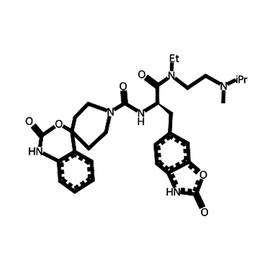 CCN(CCN(C)C(C)C)C(=O)[C@@H](Cc1ccc2[nH]c(=O)oc2c1)NC(=O)N1CCC2(CC1)OC(=O)Nc1ccccc12